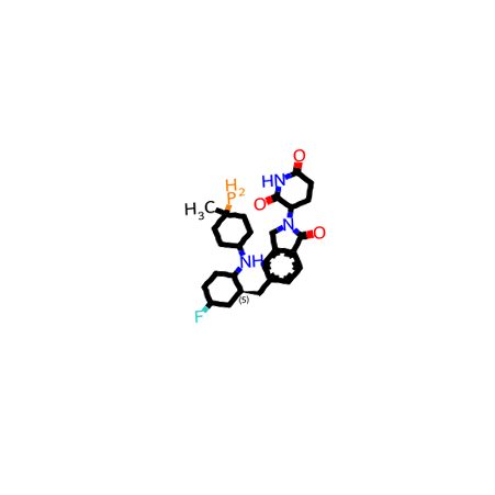 CC1(P)CCC(NC2CCC(F)C[C@@H]2Cc2ccc3c(c2)CN(C2CCC(=O)NC2=O)C3=O)CC1